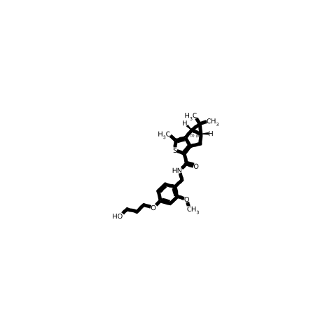 COc1cc(OCCCO)ccc1CNC(=O)c1sc(C)c2c1C[C@@H]1[C@H]2C1(C)C